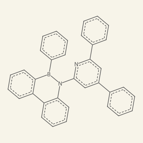 c1ccc(B2c3ccccc3-c3ccccc3N2c2cc(-c3ccccc3)cc(-c3ccccc3)n2)cc1